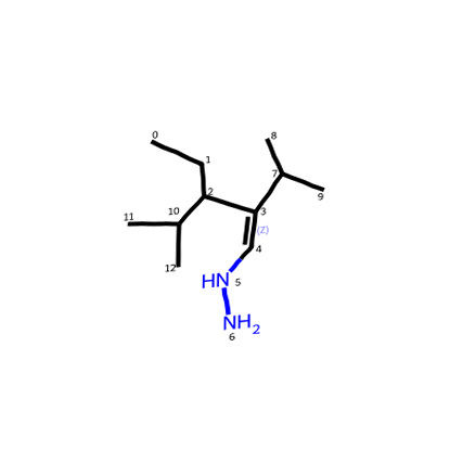 CCC(/C(=C\NN)C(C)C)C(C)C